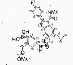 CNC(=O)c1c(-c2ccc(F)cc2)oc2cc(CS(=O)(=O)Nc3ccc(B(O)O)c(COCOC)c3)c(C3CC3)cc12